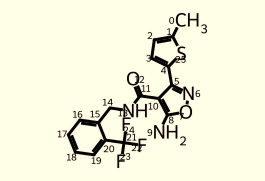 Cc1ccc(-c2noc(N)c2C(=O)NCc2ccccc2C(F)(F)F)s1